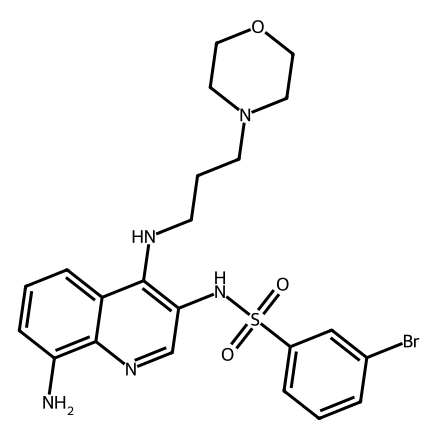 Nc1cccc2c(NCCCN3CCOCC3)c(NS(=O)(=O)c3cccc(Br)c3)cnc12